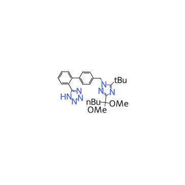 CCCCC(OC)(OC)c1nc(C(C)(C)C)n(Cc2ccc(-c3ccccc3-c3nnn[nH]3)cc2)n1